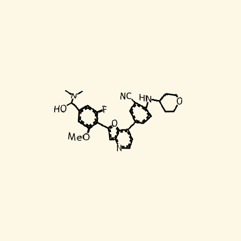 COc1cc(C(O)N(C)C)cc(F)c1-c1cc2nccc(-c3ccc(NC4CCOCC4)c(C#N)c3)c2o1